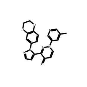 Cc1cncc(-n2ccc(=O)c(-c3ccnn3-c3ccc4c(c3)OCCO4)n2)c1